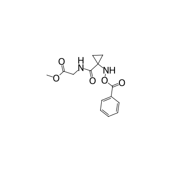 COC(=O)CNC(=O)C1(NOC(=O)c2ccccc2)CC1